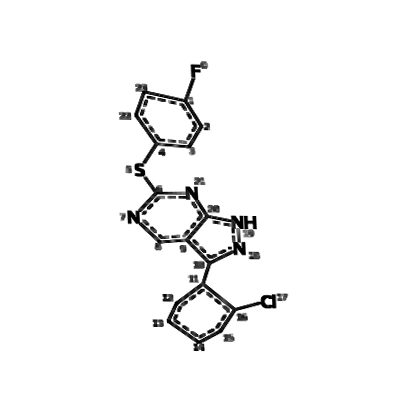 Fc1ccc(Sc2ncc3c(-c4ccccc4Cl)n[nH]c3n2)cc1